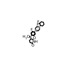 CN(c1ccc(N2CCN(C3CCCCC3(F)F)CC2)c(F)c1)C1CCC(=O)NC1=O